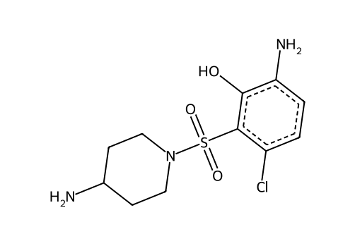 Nc1ccc(Cl)c(S(=O)(=O)N2CCC(N)CC2)c1O